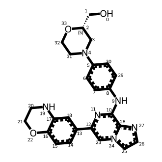 OC[C@@H]1CN(c2ccc(Nc3nc(-c4ccc5c(c4)NCCO5)cn4ccnc34)cc2)CCO1